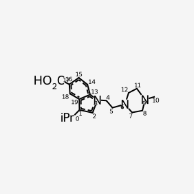 CC(C)c1cn(CCN2CCN(C)CC2)c2ccc(C(=O)O)cc12